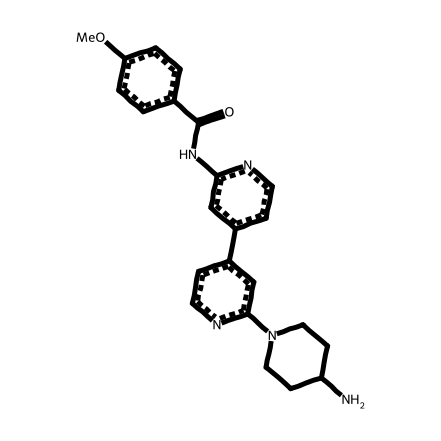 COc1ccc(C(=O)Nc2cc(-c3ccnc(N4CCC(N)CC4)c3)ccn2)cc1